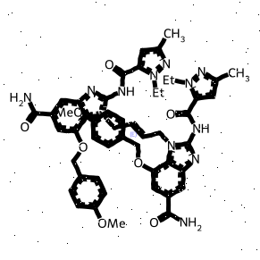 CCn1nc(C)cc1C(=O)Nc1nc2cc(C(N)=O)cc(OCc3ccc(OC)cc3)c2n1C/C=C/Cn1c(NC(=O)c2cc(C)nn2CC)nc2cc(C(N)=O)cc(OCc3ccc(OC)cc3)c21